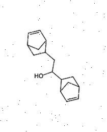 OC(CC1CC2C=CC1C2)C1CC2C=CC1C2